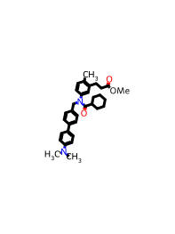 COC(=O)CCc1cc(N(Cc2ccc(-c3ccc(N(C)C)cc3)cc2)C(=O)C2CCCCC2)ccc1C